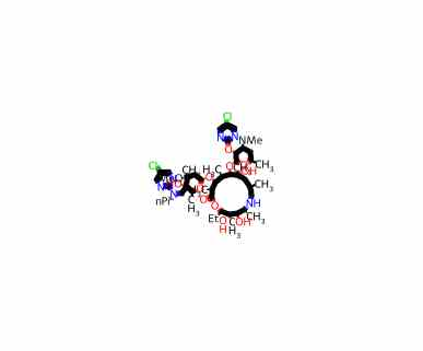 CCCN(C[C@]1(O)[C@H](C)O[C@@H](O[C@H]2[C@H](C)[C@@H](O[C@@H]3O[C@H](C)C[C@H](NC)[C@H]3Oc3ncc(Cl)cn3)[C@](C)(O)C[C@@H](C)CN[C@H](C)[C@@H](O)[C@](C)(O)[C@@H](CC)OC(=O)[C@@H]2C)C[C@@]1(C)OC)c1ncc(Cl)cn1